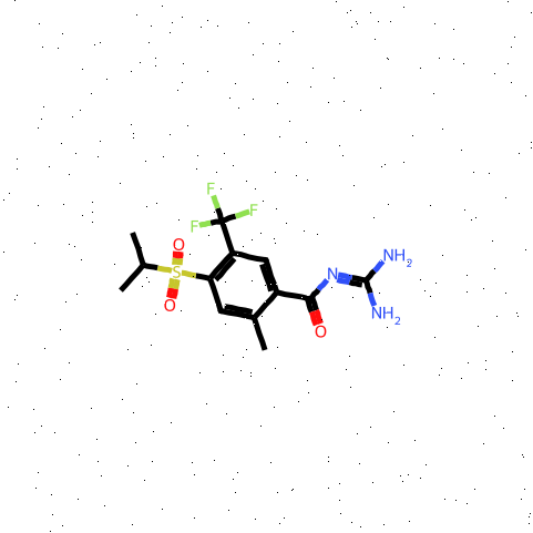 Cc1cc(S(=O)(=O)C(C)C)c(C(F)(F)F)cc1C(=O)N=C(N)N